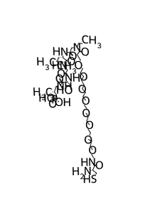 CCCN(CC(=O)N[C@@H](CC(C)C)C(=O)NCC(=O)N[C@@H](CO)C(=O)NC[C@@H](C)CP(=O)(O)O)C(=O)CCOCCOCCOCCOCCOCCOCCOCCOCCNC(=O)[C@@H](N)CS